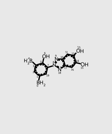 Bc1cc(B)c(O)c(-n2nc3cc(O)c(O)cc3n2)c1